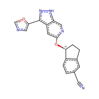 N#Cc1ccc2c(c1)CC[C@@H]2Oc1cc2c(-c3cnco3)n[nH]c2cn1